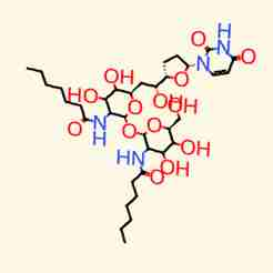 CCCCCCC(=O)NC1C(O)C(O)[C@H](CO)O[C@@H]1O[C@@H]1O[C@H](C[C@@H](O)[C@@H]2CC[C@H](n3ccc(=O)[nH]c3=O)O2)C(O)C(O)C1NC(=O)CCCCCC